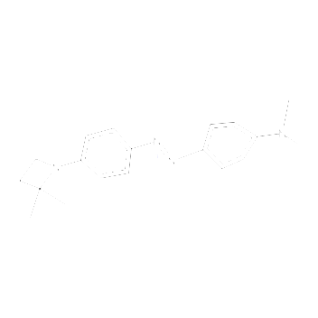 CN(C)c1ccc(/N=N/c2ccc(N3CCC3(C)C)cc2)cc1